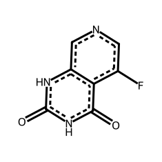 O=c1[nH]c(=O)c2c(F)cncc2[nH]1